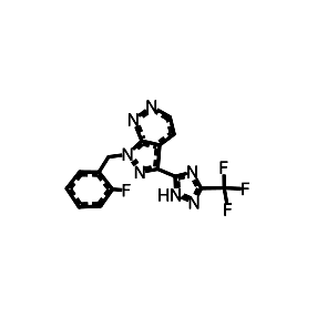 Fc1ccccc1Cn1nc(-c2nc(C(F)(F)F)n[nH]2)c2ccnnc21